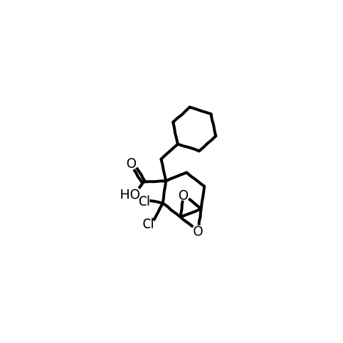 O=C(O)C1(CC2CCCCC2)CCC23OC2(O3)C1(Cl)Cl